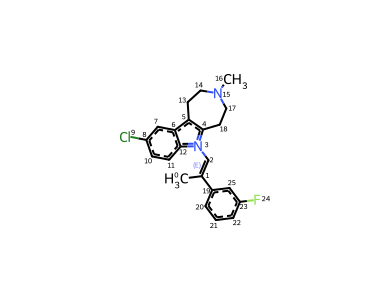 C/C(=C\n1c2c(c3cc(Cl)ccc31)CCN(C)CC2)c1cccc(F)c1